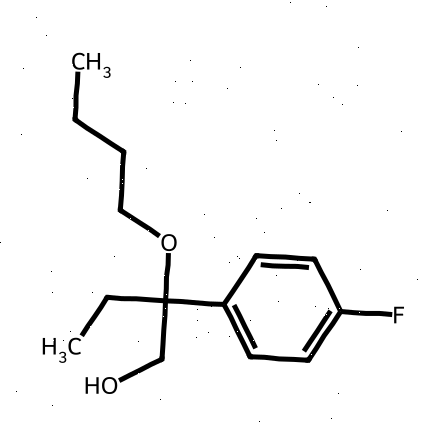 CCCCOC(CC)(CO)c1ccc(F)cc1